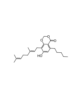 CCCCCc1cc(O)c(C/C=C(\C)CCC=C(C)C)c2c1C(=O)OCO2